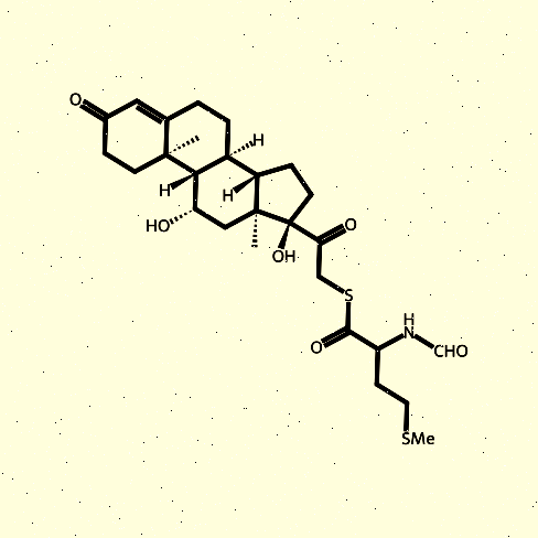 CSCCC(NC=O)C(=O)SCC(=O)[C@@]1(O)CC[C@H]2[C@@H]3CCC4=CC(=O)CC[C@]4(C)[C@H]3[C@@H](O)C[C@@]21C